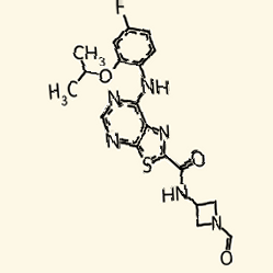 CC(C)Oc1cc(F)ccc1Nc1ncnc2sc(C(=O)NC3CN(C=O)C3)nc12